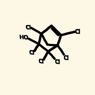 OC1(Cl)C2(Cl)C=C(Cl)C(Cl)(C2)C1(Cl)Cl